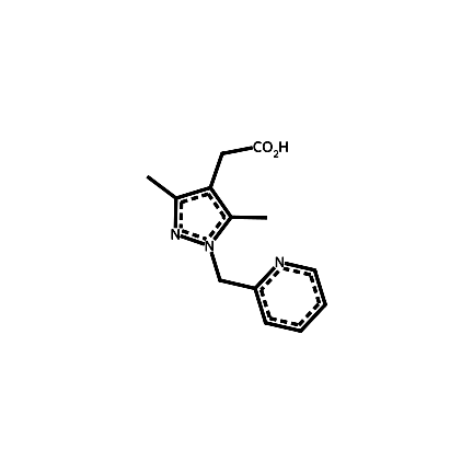 Cc1nn(Cc2ccccn2)c(C)c1CC(=O)O